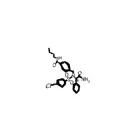 CCCCNC(=O)c1ccc(CN([C@@H](C(N)=O)c2ccccc2)S(=O)(=O)c2ccc(Cl)cc2)cc1